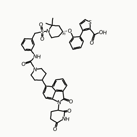 CC1(C)C[C@H](Oc2ccccc2-c2ccsc2C(=O)O)CCN1S(=O)(=O)Cc1cccc(NC(=O)N2CCC(c3ccc4c5c(cccc35)C(=O)N4C3CCC(=O)NC3=O)CC2)c1